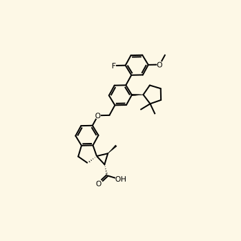 COc1ccc(F)c(-c2ccc(COc3ccc4c(c3)[C@@]3(CC4)[C@@H](C)[C@@H]3C(=O)O)cc2[C@H]2CCCC2(C)C)c1